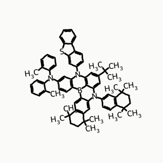 Cc1ccccc1N(c1ccc2c(c1)N(c1ccc3c(c1)sc1ccccc13)c1cc(C(C)(C)C)cc3c1B2c1cc2c(cc1N3c1ccc3c(c1)C(C)(C)CCC3(C)C)C(C)(C)CCC2(C)C)c1ccccc1C